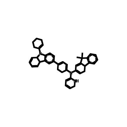 CC1(C)C2=CC(N(C3=CC=C(c4ccc5c(c4)C4C=CC=CC4N5C4=CCCCC4)CC3)C3=CC=CCN3)=CCC2c2ccccc21